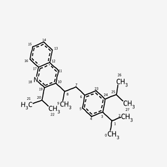 CC(C)c1ccc(CC(C)c2cc3ccccc3nc2C(C)C)cc1C(C)C